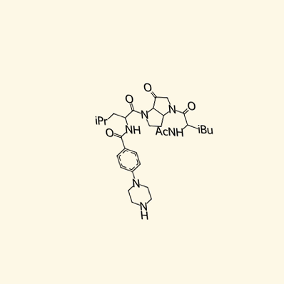 CCC(C)C(NC(C)=O)C(=O)N1CC(=O)C2C1CCN2C(=O)C(CC(C)C)NC(=O)c1ccc(N2CCNCC2)cc1